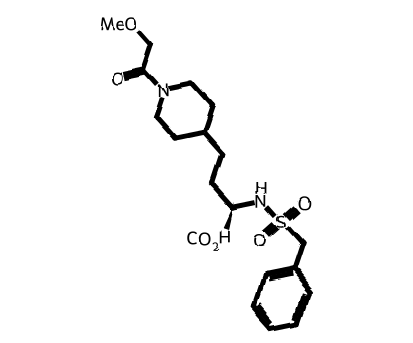 COCC(=O)N1CCC(CC[C@@H](NS(=O)(=O)Cc2ccccc2)C(=O)O)CC1